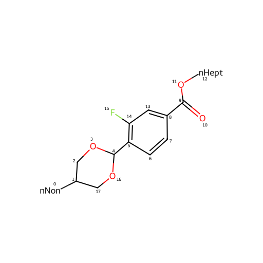 CCCCCCCCCC1COC(c2ccc(C(=O)OCCCCCCC)cc2F)OC1